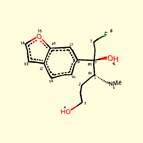 CN[C@H](CCO)[C@@](O)(CF)c1ccc2ccoc2c1